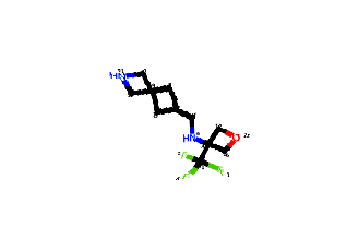 FC(F)(F)C1(NCC2CC3(CNC3)C2)COC1